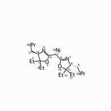 CCC1(CC)OC(CC2=N[C@H](CC(C)C)C(CC)(CC)O2)=N[C@@H]1CC(C)C.[Ni]